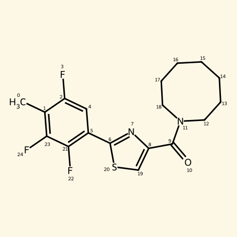 Cc1c(F)cc(-c2nc(C(=O)N3CCCCCCC3)cs2)c(F)c1F